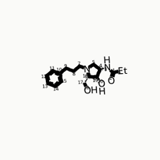 CCC(=O)N[C@H]1CN(CCCc2ccccc2)[C@@H](CO)[C@@H]1O